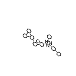 c1ccc(-c2ccc(-c3nc(-c4ccccc4)nc(-c4ccc5c(c4)oc4c(-c6ccc7c8ccccc8c8ccccc8c7c6)cccc45)n3)cc2)cc1